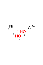 [Al+3].[Ni].[OH-].[OH-].[OH-]